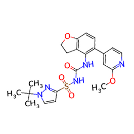 COc1cc(-c2ccc3c(c2NC(=O)NS(=O)(=O)c2ccn(C(C)(C)C)n2)CCO3)ccn1